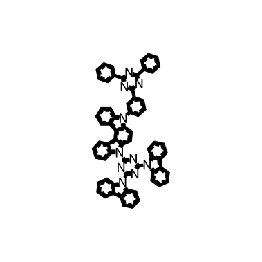 c1ccc(-c2nc(-c3ccccc3)nc(-c3cccc(-n4c5ccccc5c5c6c7ccccc7n(-c7nc(-n8c9ccccc9c9ccccc98)nc(-n8c9ccccc9c9ccccc98)n7)c6ccc54)c3)n2)cc1